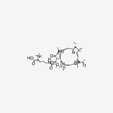 CC[C@H]1c2cc3[nH]c4c(c3C)C(=O)C(C(=O)OC)c4c3nc(cc4[nH]c(cc(n2)[C@@H]1C)c(C(C)=O)c4C)[C@@H](C)[C@@H]3CCC(=O)NCCC[C@@H](C(=O)O)[N+](C)(C)C